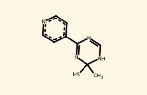 CC1(S)N=C(c2ccncc2)N=CN1